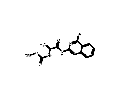 CC(NC(=O)OC(C)(C)C)C(=O)Nc1cc2ccccc2c(Br)n1